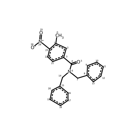 Cc1cc(C(=O)N(Cc2ccccc2)Cc2ccccc2)ccc1[N+](=O)[O-]